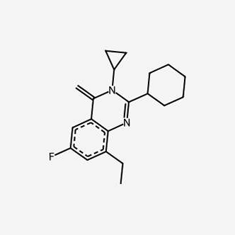 C=C1c2cc(F)cc(CC)c2N=C(C2CCCCC2)N1C1CC1